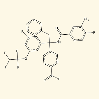 O=C(F)c1ccc(C(Cc2ccccc2)(NC(=O)c2ccc(F)c(C(F)(F)F)c2)c2cc(F)cc(OC(F)(F)C(F)F)c2)cc1